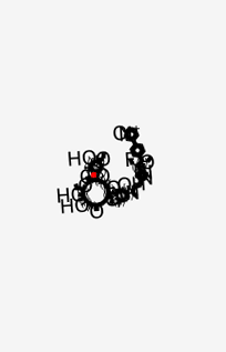 CC[C@H]1OC(=O)[C@H](C)[C@@H](O[C@H]2C[C@@](C)(OC)[C@@H](O)[C@H](C)O2)[C@H](C)[C@@H](O[C@@H]2O[C@H](C)C[C@H](N(C)CCc3cn([C@H](CF)[C@H](OC)c4ccc(-c5ccc[n+]([O-])c5)cc4)nn3)[C@H]2O)[C@](C)(OC)CCC(=O)[C@H](C)[C@@H](O)[C@]1(C)O